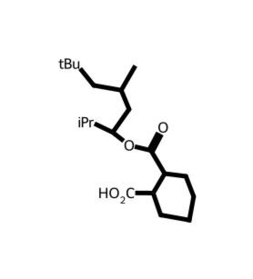 CC(CC(OC(=O)C1CCCCC1C(=O)O)C(C)C)CC(C)(C)C